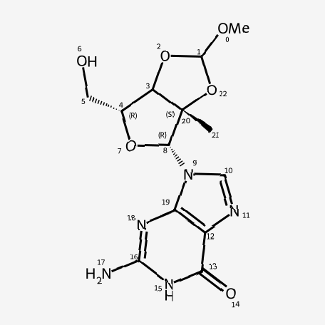 COC1OC2[C@@H](CO)O[C@@H](n3cnc4c(=O)[nH]c(N)nc43)[C@@]2(C)O1